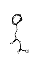 O=C(O)OC(=O)COc1ccccc1